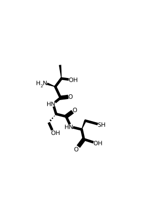 C[C@@H](O)[C@H](N)C(=O)N[C@@H](CO)C(=O)N[C@@H](CS)C(=O)O